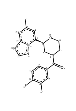 Cc1cc([C@@H]2CN(C(=O)c3ccc(F)c(C)c3)CCO2)n2ncnc2n1